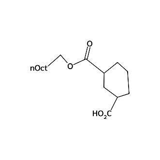 CCCCCCCCCOC(=O)C1CCCC(C(=O)O)C1